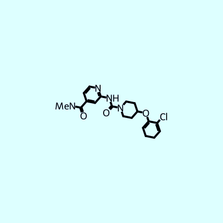 CNC(=O)c1ccnc(NC(=O)N2CCC(OC3=CCCC=C3Cl)CC2)c1